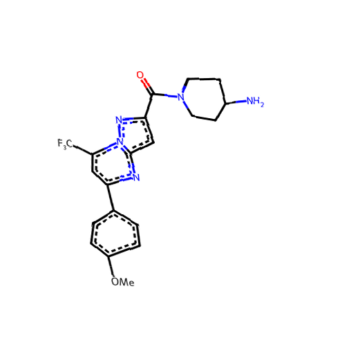 COc1ccc(-c2cc(C(F)(F)F)n3nc(C(=O)N4CCC(N)CC4)cc3n2)cc1